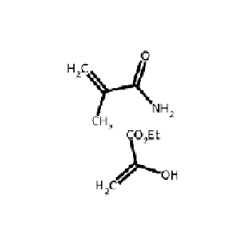 C=C(C)C(N)=O.C=C(O)C(=O)OCC